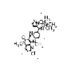 CN(c1c(C#N)c(=O)n(C)c2ccc(Cl)nc12)C1CCC(/C(=N/OC(C)(C)C)c2ccnn2C)CC1